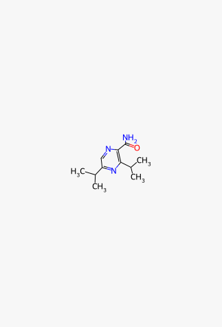 CC(C)c1cnc(C(N)=O)c(C(C)C)n1